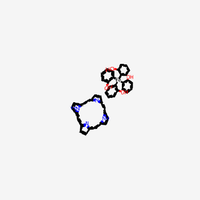 C1=Cc2cc3ccc(cc4nc(cc5ccc(cc1n2)[nH]5)C=C4)[nH]3.Oc1cccc[c]1[Fe]([c]1ccccc1O)([c]1ccccc1O)[c]1ccccc1O